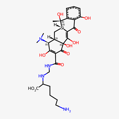 CN(C)[C@@H]1C(O)=C(C(=O)NCNC(CCCCN)C(=O)O)C(=O)[C@@]2(O)C(O)=C3C(=O)c4c(O)cccc4[C@@](C)(O)[Si@H]3C[C@@H]12